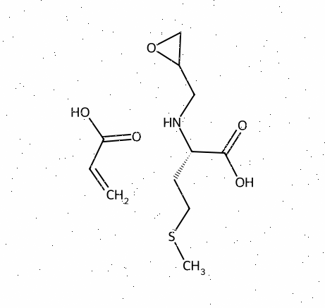 C=CC(=O)O.CSCC[C@H](NCC1CO1)C(=O)O